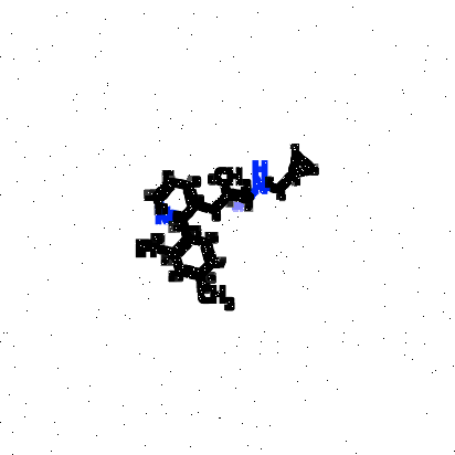 C/C(=C\NCC1CC1)Cc1cccnc1-c1ccc(C)cc1C(C)C